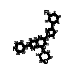 Fc1cccc(-c2ccn(-c3cc(N4CCOCC4)n4nc(-c5ccncc5)cc4n3)n2)c1